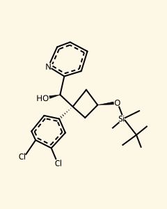 CC(C)(C)[Si](C)(C)O[C@H]1C[C@@](c2ccc(Cl)c(Cl)c2)([C@@H](O)c2ccccn2)C1